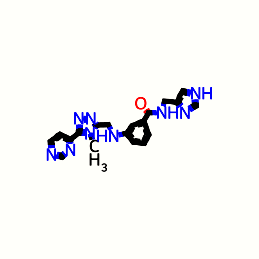 Cn1c(CNc2cccc(C(=O)NCc3c[nH]cn3)c2)nnc1-c1ccncn1